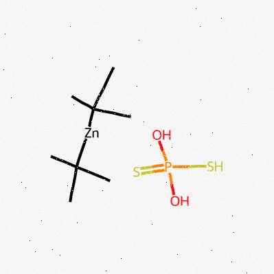 C[C](C)(C)[Zn][C](C)(C)C.OP(O)(=S)S